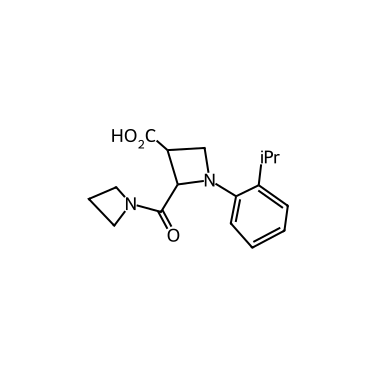 CC(C)c1ccccc1N1CC(C(=O)O)C1C(=O)N1CCC1